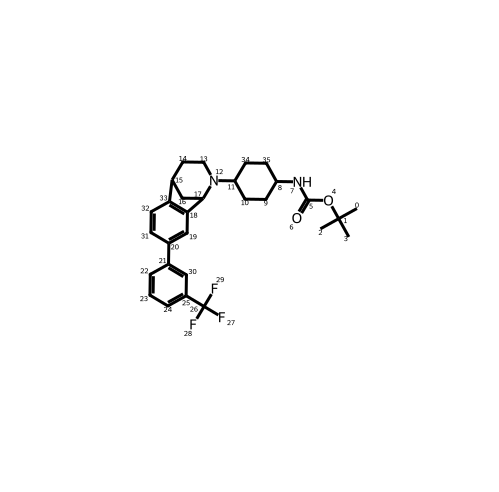 CC(C)(C)OC(=O)NC1CCC(N2CCC3CC2c2cc(-c4cccc(C(F)(F)F)c4)ccc23)CC1